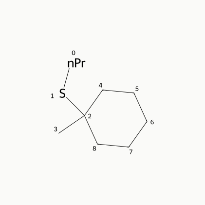 CCCSC1(C)CCCCC1